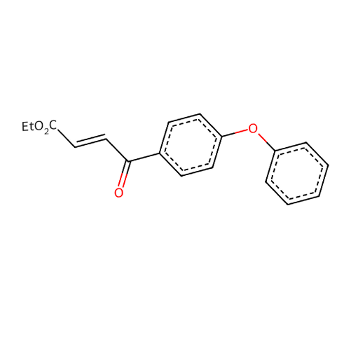 CCOC(=O)C=CC(=O)c1ccc(Oc2ccccc2)cc1